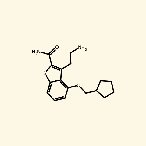 NCCc1c(C(N)=O)sc2cccc(OCC3CCCC3)c12